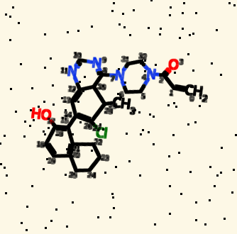 C=CC(=O)N1CCN(C2=NC=NC3=CC(c4c(O)ccc5c4CCCC5)=C(Cl)C(C)C32)CC1